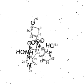 COc1ccc(S(=O)(=O)N(Cc2ccccc2)C(Cc2cn(C)cn2)C(=O)NO)cc1.Cl